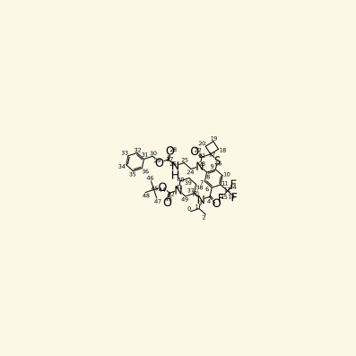 CC(C)N(C(=O)c1cc2c(cc1C(F)(F)F)SC1(CCC1)C(=O)N2CCNC(=O)OCc1ccccc1)[C@@H]1CCCN(C(=O)OC(C)(C)C)C1